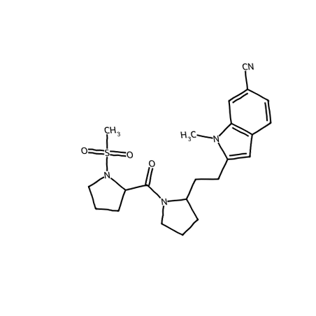 Cn1c(CCC2CCCN2C(=O)C2CCCN2S(C)(=O)=O)cc2ccc(C#N)cc21